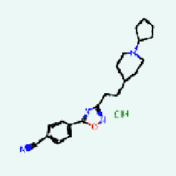 Cl.N#Cc1ccc(-c2nc(CCC3CCN(C4CCCC4)CC3)no2)cc1